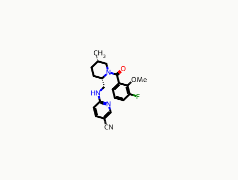 COc1c(F)cccc1C(=O)N1C[C@@H](C)CC[C@H]1CNc1ccc(C#N)cn1